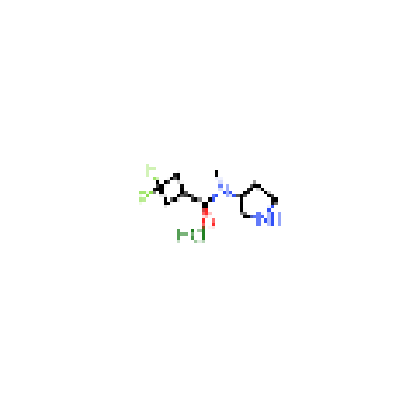 CN(C(=O)C1CC(F)(F)C1)[C@H]1CCNC1.Cl